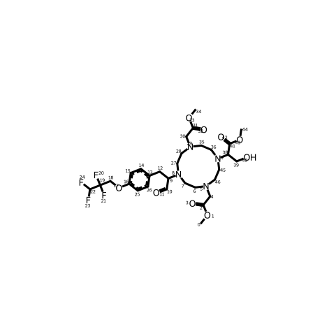 COC(=O)CN1CCN(C(C=O)Cc2ccc(OCC(F)(F)C(F)F)cc2)CCN(CC(=O)OC)CCN(C(CO)C(=O)OC)CC1